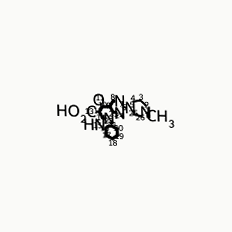 CN1CCCN(c2ncc3c(=O)c(C(=O)O)c4[nH]c5ccccc5n4c3n2)CC1